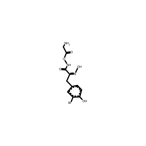 NCC(=O)ONC(=O)C(Cc1ccc(O)c(Br)c1)=NO